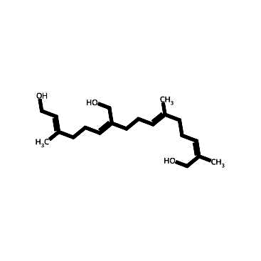 CC(=CCCC(C)=CCCC(=CCCC(C)=CCO)CO)CO